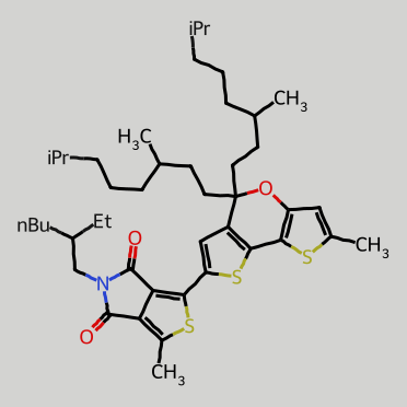 CCCCC(CC)CN1C(=O)c2c(C)sc(-c3cc4c(s3)-c3sc(C)cc3OC4(CCC(C)CCCC(C)C)CCC(C)CCCC(C)C)c2C1=O